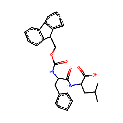 CC(C)CC(NC(=O)C(Cc1ccccc1)NC(=O)OCC1c2ccccc2-c2ccccc21)C(=O)O